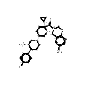 O=C(O)[C@@H]1CN([C@@H]2CC[C@@](C(=O)N3COc4ccc(C(F)(F)F)cc4C3)(C3CC3)OC2)CC[C@H]1c1ccc(F)cc1